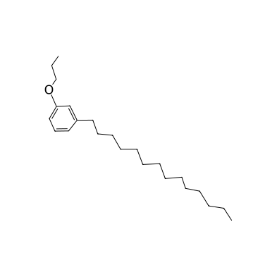 CCCCCCCCCCCCCCc1cccc(OCCC)c1